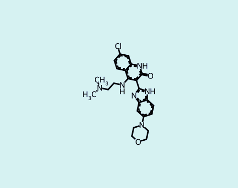 CN(C)CCNc1c(-c2nc3cc(N4CCOCC4)ccc3[nH]2)c(=O)[nH]c2cc(Cl)ccc12